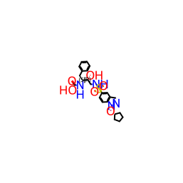 O=C(O)N[C@@H](Cc1ccccc1)[C@H](O)CNS(=O)(=O)c1ccc2c(cnn2OC2CCCC2)c1